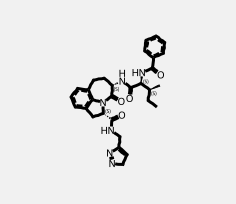 CC[C@H](C)[C@H](NC(=O)c1ccccc1)C(=O)N[C@H]1CCc2cccc3c2N(C1=O)[C@H](C(=O)NCC1=CCN=N1)C3